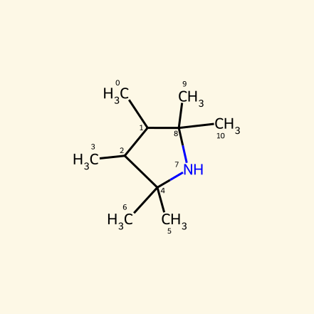 CC1C(C)C(C)(C)NC1(C)C